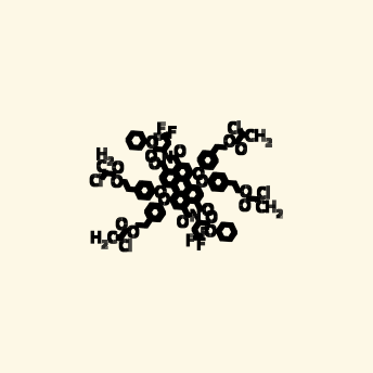 C=C(Cl)C(=O)OCCc1ccc(Oc2cc3c4c(cc(Oc5ccc(CCOC(=O)C(=C)Cl)cc5)c5c6c(Oc7ccc(CCOC(=O)C(=C)Cl)cc7)cc7c8c(cc(Oc9ccc(CCOC(=O)C(=C)Cl)cc9)c(c2c45)c86)C(=O)N(C(CC(F)(F)F)C(=O)OC2CCCCC2)C7=O)C(=O)N(C(CC(F)(F)F)C(=O)OC2CCCCC2)C3=O)cc1